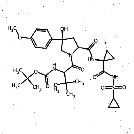 COc1ccc([C@]2(O)C[C@@H](C(=O)N[C@]3(C(=O)NS(=O)(=O)C4CC4)C[C@H]3I)N(C(=O)C(NC(=O)OC(C)(C)C)C(C)(C)C)C2)cc1